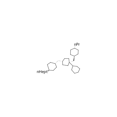 CCCCCCC[C@H]1CC[C@H](C[C@H]2CC[C@](C[C@H]3CC[C@H](CCC)CC3)(C3CCCCC3)CC2)CC1